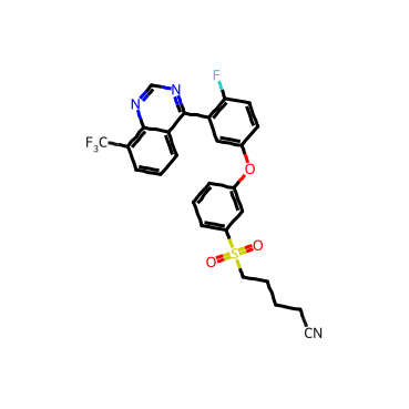 N#CCCCCS(=O)(=O)c1cccc(Oc2ccc(F)c(-c3ncnc4c(C(F)(F)F)cccc34)c2)c1